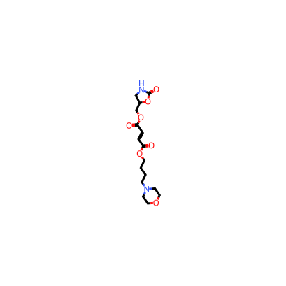 O=C(/C=C/C(=O)OCC1CNC(=O)O1)OCCCCN1CCOCC1